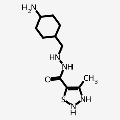 CC1=C(C(=O)NNCC2CCC(N)CC2)SNN1